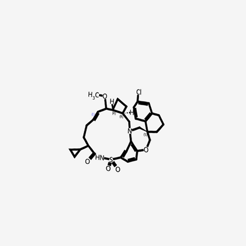 COC1/C=C/CCC(C2CC2)C(=O)NS(=O)(=O)c2ccc3c(c2)N(C[C@@H]2CC[C@@H]12)C[C@@]1(CCCc2cc(Cl)ccc21)CO3